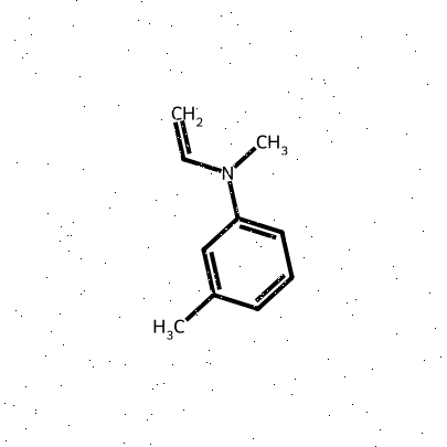 C=CN(C)c1cccc(C)c1